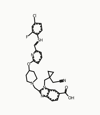 N#CCC1(Cn2c(CN3CCC(Oc4cccc(C=[SH]c5ccc(Cl)cc5F)n4)CC3)nc3ccc(C(=O)O)cc32)CC1